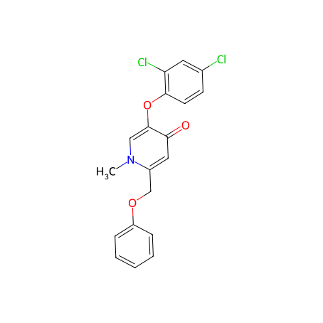 Cn1cc(Oc2ccc(Cl)cc2Cl)c(=O)cc1COc1ccccc1